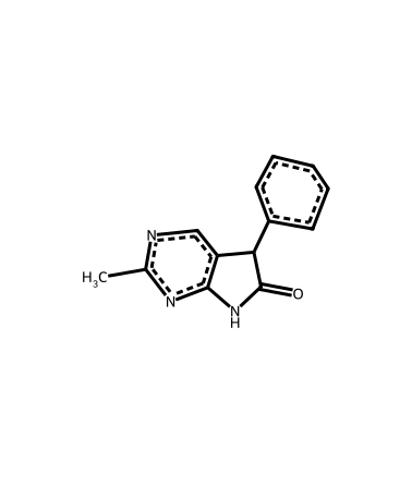 Cc1ncc2c(n1)NC(=O)C2c1ccccc1